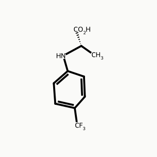 C[C@H](Nc1ccc(C(F)(F)F)cc1)C(=O)O